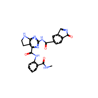 CNC(=O)c1ccccc1NC(=O)c1nc(NC(=O)c2ccc3c(c2)C=NC3=O)nc2c1CCN2